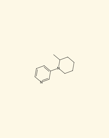 CC1CCCCN1c1cccnc1